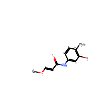 CCOC=CC(=O)Nc1ccc(OC)c(Br)c1